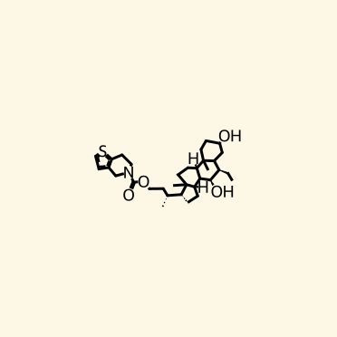 CC[C@@H]1C2C[C@H](O)CCC2(C)[C@H]2CCC3(C)[C@@H]([C@H](C)CCOC(=O)N4CCc5sccc5C4)CC[C@H]3C2[C@@H]1O